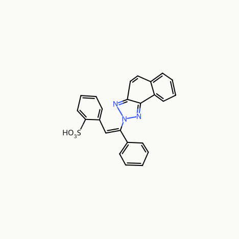 O=S(=O)(O)c1ccccc1C=C(c1ccccc1)n1nc2ccc3ccccc3c2n1